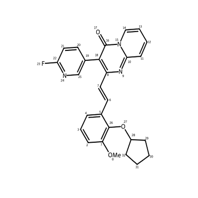 COc1cccc(/C=C/c2nc3ccccn3c(=O)c2-c2ccc(F)nc2)c1OC1CCCC1